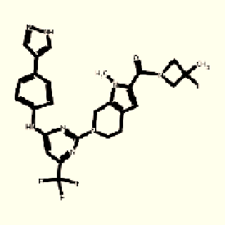 Cn1c(C(=O)N2CC(C)(F)C2)cc2c1CN(c1nc(Nc3ccc(-c4cn[nH]c4)cc3)cc(C(F)(F)F)n1)CC2